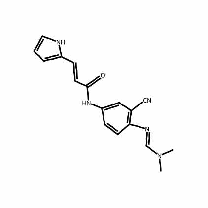 CN(C)/C=N/c1ccc(NC(=O)/C=C/c2ccc[nH]2)cc1C#N